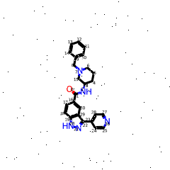 O=C(N[C@@H]1CCCN(Cc2ccccc2)C1)c1ccc2[nH]nc(-c3ccncc3)c2c1